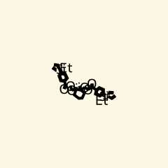 [CH2]C1(OOC(=O)c2ccc([Si](C=C)(C=C)CC)cc2)CCCCC1([CH2])OOC(=O)c1ccc([Si](C=C)(C=C)CC)cc1